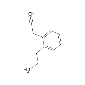 C#CCc1ccccc1CCC